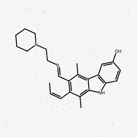 C/C=C\c1c(/C=N/CCN2CCCCC2)c(C)c2c([nH]c3ccc(O)cc32)c1C